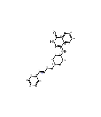 O=c1[nH]nc(NC2CCN(CC/C=C/c3ccccc3)CC2)c2ccccc12